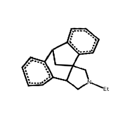 CCN1CC2c3ccccc3C3CC2(C1)c1ccccc13